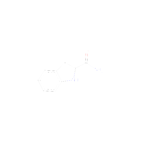 NC(=O)C1Cc2ccccc2N1